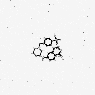 CS(=O)(=O)c1ccc(CN2CCC[C@@H](Nc3ccc4c(=O)[nH]ccc4c3)C2)cc1